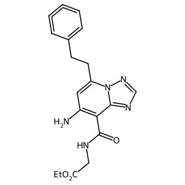 CCOC(=O)CNC(=O)c1c(N)cc(CCC2=CC=C=C=C2)n2ncnc12